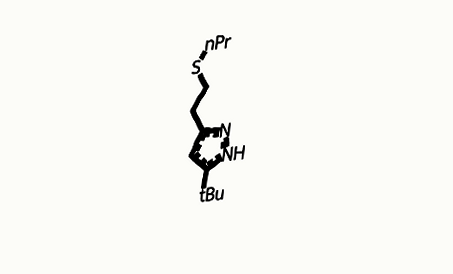 CCCSCCc1cc(C(C)(C)C)[nH]n1